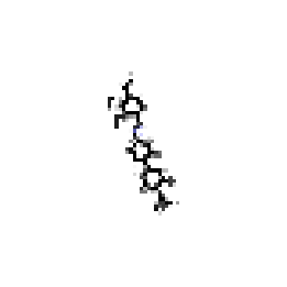 C=Cc1ccc(/C=C/c2ccc(-c3ccc(C4CO4)c(F)c3)cc2)c(F)c1F